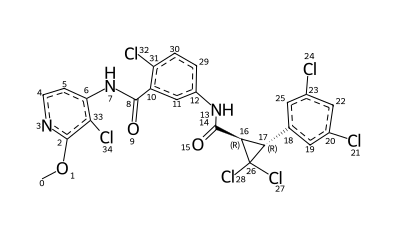 COc1nccc(NC(=O)c2cc(NC(=O)[C@H]3[C@H](c4cc(Cl)cc(Cl)c4)C3(Cl)Cl)ccc2Cl)c1Cl